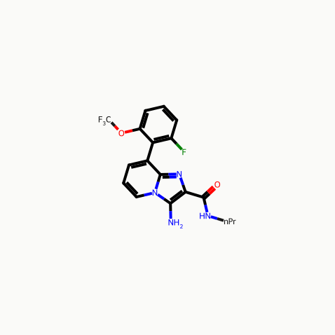 CCCNC(=O)c1nc2c(-c3c(F)cccc3OC(F)(F)F)cccn2c1N